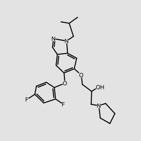 CC(C)Cn1ncc2cc(Oc3ccc(F)cc3F)c(OCC(O)CN3CCCC3)cc21